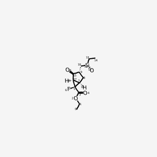 CCOC(=O)[C@@]1(F)[C@@H]2C[C@@H](C[Si](=O)CC)C(=O)[C@@H]21